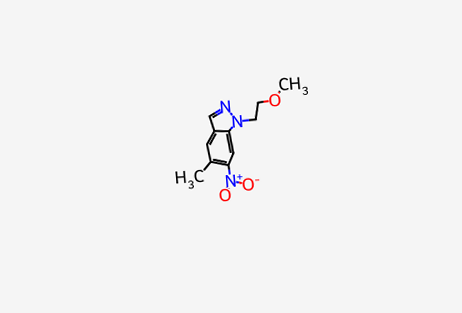 COCCn1ncc2cc(C)c([N+](=O)[O-])cc21